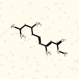 CC(C=CCC(C)CC(C)C(C)C)=CC(=O)OC(C)C